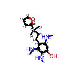 CNc1cc(O)c(NC)c(NC)c1CC[Si](C)(C)c1ccco1